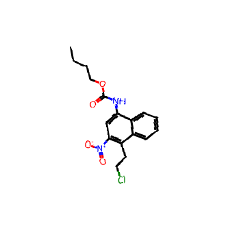 CCCCOC(=O)Nc1cc([N+](=O)[O-])c(CCCl)c2ccccc12